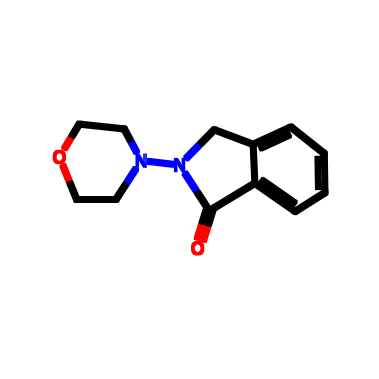 O=C1c2ccccc2CN1N1CCOCC1